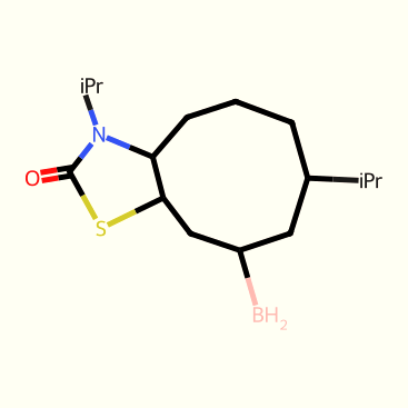 BC1CC(C(C)C)CCCC2C(C1)SC(=O)N2C(C)C